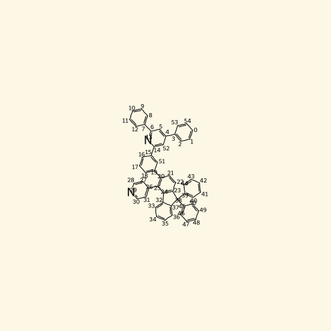 c1ccc(-c2cc(-c3ccccc3)nc(-c3cccc(-c4ccc5c(c4-c4ccncc4)-c4ccccc4C5(c4ccccc4)c4ccccc4)c3)c2)cc1